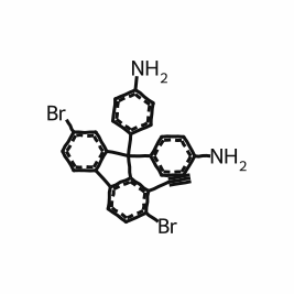 C#Cc1c(Br)ccc2c1C(c1ccc(N)cc1)(c1ccc(N)cc1)c1cc(Br)ccc1-2